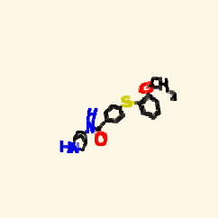 COc1ccccc1Sc1ccc(C(=O)NC2CC3CC2CN3)cc1